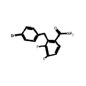 NC(=O)c1ccc(F)c(F)c1Cc1ccc(Br)cc1